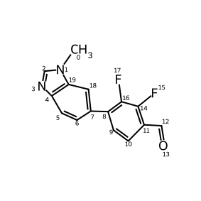 Cn1cnc2ccc(-c3ccc(C=O)c(F)c3F)cc21